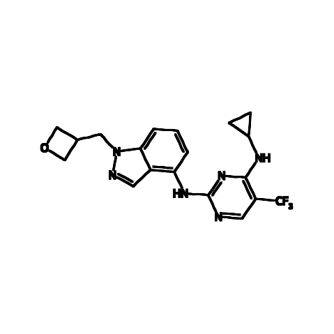 FC(F)(F)c1cnc(Nc2cccc3c2cnn3CC2COC2)nc1NC1CC1